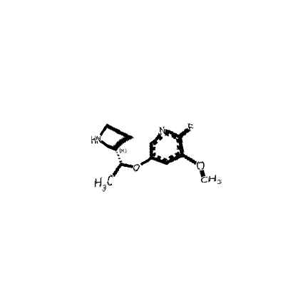 COc1cc(OC(C)[C@H]2CCN2)cnc1F